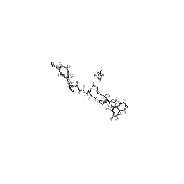 CN(C1CCN(CCCCOc2cccc(F)c2)CC1)S(=O)(=O)c1cccc2cnccc12.Cl.Cl